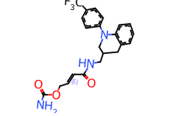 NC(=O)OC/C=C/C(=O)NCC1Cc2ccccc2N(c2ccc(C(F)(F)F)cc2)C1